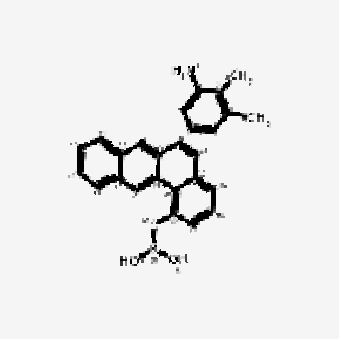 Cc1cccc(N)c1C.OB(O)Oc1cccc2ccc3cc4ccccc4cc3c12